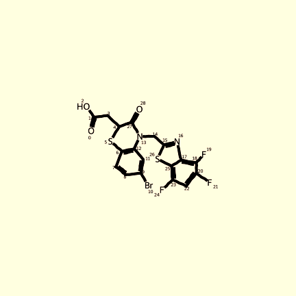 O=C(O)CC1Sc2ccc(Br)cc2N(Cc2nc3c(F)c(F)cc(F)c3s2)C1=O